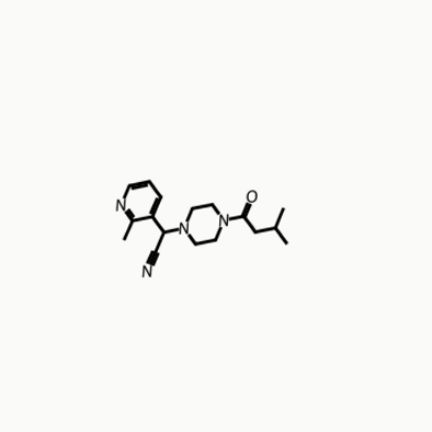 Cc1ncccc1C(C#N)N1CCN(C(=O)CC(C)C)CC1